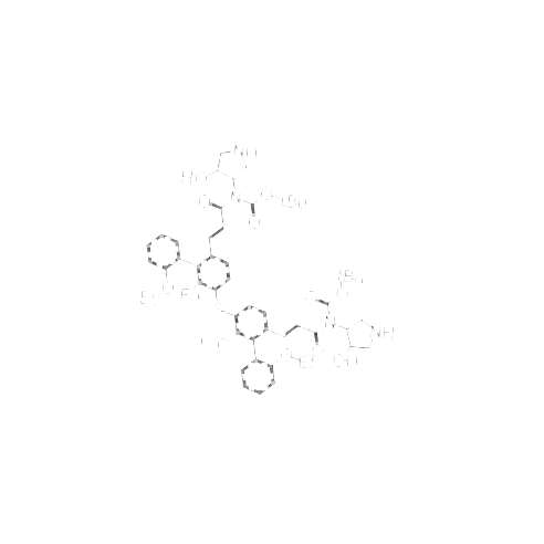 CCOc1ccccc1-c1c(/C=C/C(=O)N(C(=O)OC(C)(C)C)C2CNCC2O)ccc(Sc2ccc(/C=C/C(=O)N(C(=O)OC(C)(C)C)C3CNCC3O)c(-c3ccccc3OCC)c2C(F)(F)F)c1C(F)(F)F